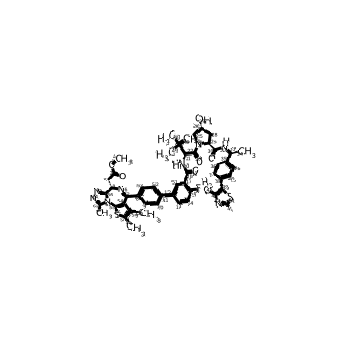 COC(=O)C[C@@H]1N=C(c2ccc(-c3ccc(F)c(C(=O)N[C@H](C(=O)N4C[C@H](O)C[C@H]4C(=O)N[C@@H](C)c4ccc(-c5scnc5C)cc4)C(C)(C)C)c3)cc2)c2c(sc(C)c2C)-n2c(C)nnc21